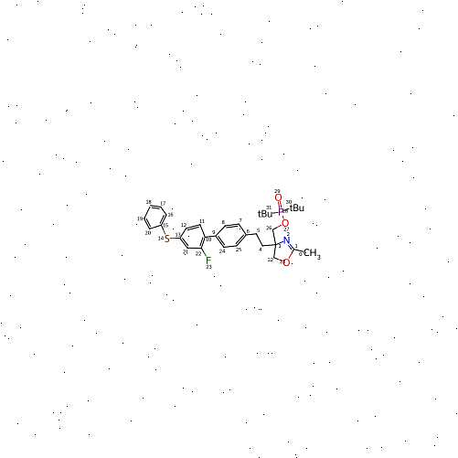 CC1=NC(CCc2ccc(-c3ccc(Sc4ccccc4)cc3F)cc2)(COP(=O)(C(C)(C)C)C(C)(C)C)CO1